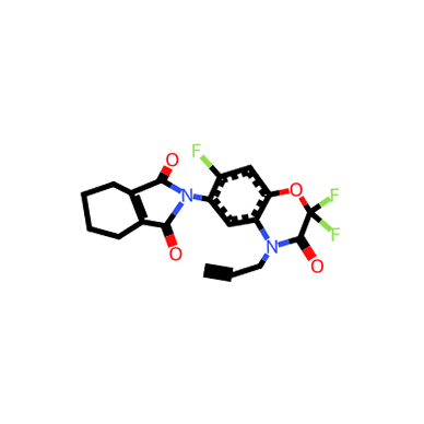 C#CCN1C(=O)C(F)(F)Oc2cc(F)c(N3C(=O)C4=C(CCCC4)C3=O)cc21